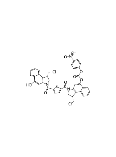 O=C(Oc1ccc([N+](=O)[O-])cc1)Oc1cc2c(c3ccccc13)[C@H](CCl)CN2C(=O)c1ccc(C(=O)N2C[C@@H](CCl)c3c2cc(O)c2ccccc32)s1